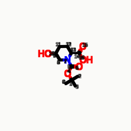 CC(C)(C)OC(=O)N1C[C@H](O)CC[C@H]1C(=O)O